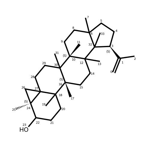 C=C(C)[C@@H]1CCC2(C)CC[C@]3(C)C(C)(CC[C@]4(C)C5(C)CCC(O)[C@@]6(C)CC56CCC34C)C12C